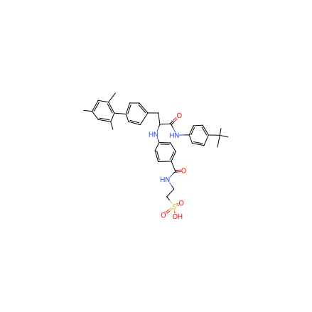 Cc1cc(C)c(-c2ccc(CC(Nc3ccc(C(=O)NCCS(=O)(=O)O)cc3)C(=O)Nc3ccc(C(C)(C)C)cc3)cc2)c(C)c1